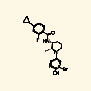 C[C@@H]1[C@H](NC(=O)c2ccc(C3CC3)cc2F)CCCN1c1cnc(C#N)c(Br)c1